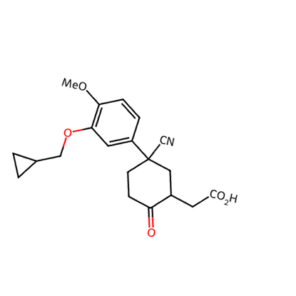 COc1ccc(C2(C#N)CCC(=O)C(CC(=O)O)C2)cc1OCC1CC1